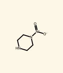 O=[N+]([O-])N1CCNCC1